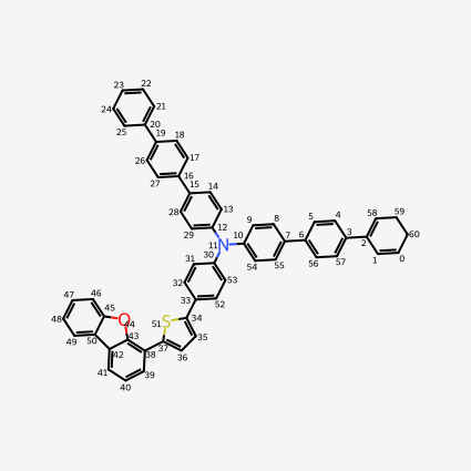 C1=CC(c2ccc(-c3ccc(N(c4ccc(-c5ccc(-c6ccccc6)cc5)cc4)c4ccc(-c5ccc(-c6cccc7c6oc6ccccc67)s5)cc4)cc3)cc2)=CCC1